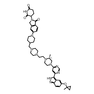 C[C@H]1CN(c2cc(-c3[nH]nc4ccc(OC5(C)CC5)cc34)ncn2)CCN1CCN1CCN(CC2CCN(c3ccc4c(c3)CN(C3CCC(=O)NC3=O)C4=O)CC2)CC1